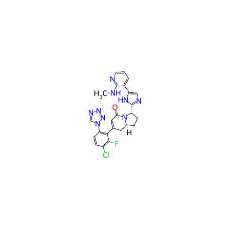 CNc1ncccc1-c1cnc([C@@H]2CC[C@H]3CC(c4c(-n5cnnn5)ccc(Cl)c4F)=CC(=O)N32)[nH]1